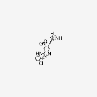 O=[N+]([O-])c1cc2c(Nc3cccc(Cl)c3F)ncnc2cc1C#C[C@]12CNC[C@H]1C2